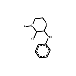 FN1CCOC(Nc2ccccc2)C1Cl